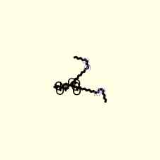 CCCCC/C=C\C/C=C\CCCCCCCC(=O)OCC(OC(=O)CCCCCCC/C=C\C/C=C\CCCCC)C1CCN(C(=O)OC(C)(C)C)CC1